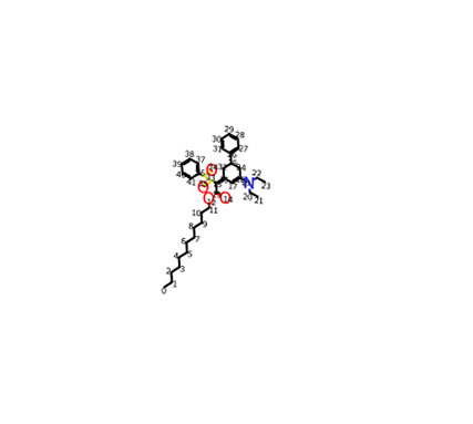 CCCCCCCCCCCCOC(=O)/C(=C1\C=C(N(CC)CC)CC(c2ccccc2)C1)S(=O)(=O)c1ccccc1